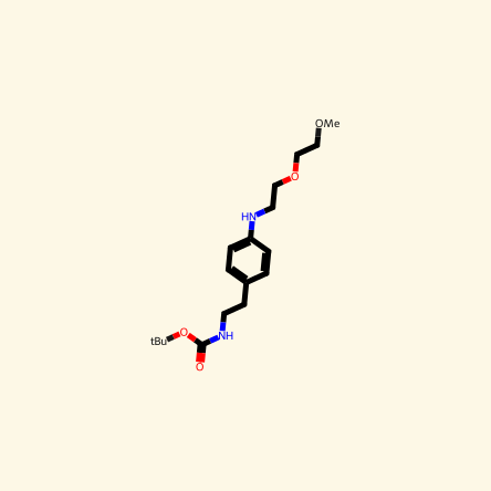 COCCOCCNc1ccc(CCNC(=O)OC(C)(C)C)cc1